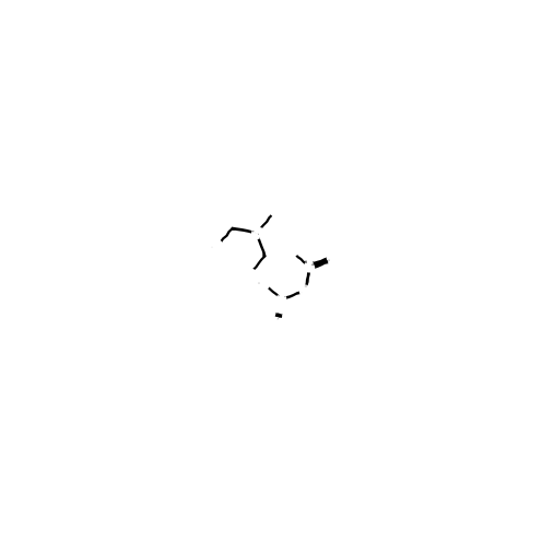 CN(CO)CO.O=[PH](O)O[PH](=O)O